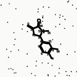 C=C1CC(c2ccc(C)c(C)c2)N(C)C1=O